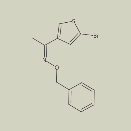 CC(=NOCc1ccccc1)c1csc(Br)c1